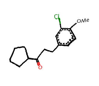 COc1ccc(CCC(=O)C2CCCC2)cc1Cl